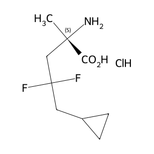 C[C@](N)(CC(F)(F)CC1CC1)C(=O)O.Cl